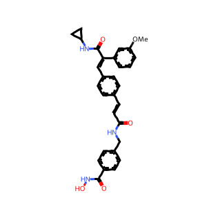 COc1cccc(/C(=C\c2ccc(C=CC(=O)NCc3ccc(C(=O)NO)cc3)cc2)C(=O)NC2CC2)c1